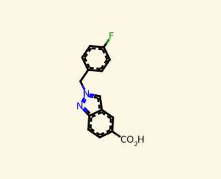 O=C(O)c1ccc2nn(Cc3ccc(F)cc3)cc2c1